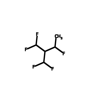 CC(F)C(C(F)F)C(F)F